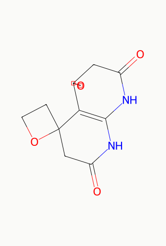 O=C1CC2(CCO2)C2=C(N1)NC(=O)CC21CCO1